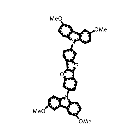 COc1ccc2c(c1)c1cc(OC)ccc1n2-c1ccc2c(c1)oc1c3ccc(-n4c5ccc(OC)cc5c5cc(OC)ccc54)cc3sc21